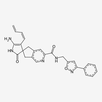 C=C/C=C\C1=C(N)NC(=O)C12Cc1cnc(C(=O)NCc3cc(-c4ccccc4)no3)cc1C2